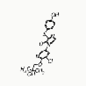 CC(C)(O)COc1ncc(-n2ccnc(Sc3ccc(O)cc3)c2=O)cc1Cl